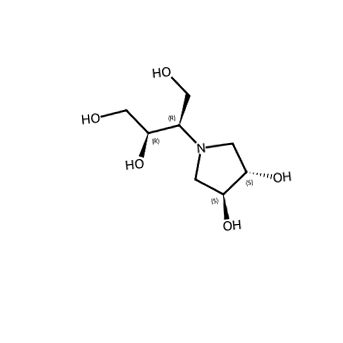 OC[C@H]([C@@H](O)CO)N1C[C@H](O)[C@@H](O)C1